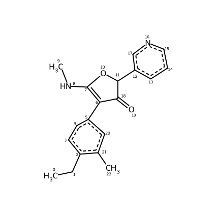 CCc1ccc(C2=C(NC)OC(c3cccnc3)C2=O)cc1C